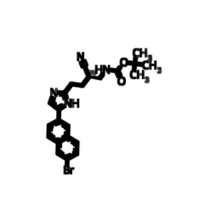 CC(C)(C)OC(=O)NC[C@H](C#N)CCc1ncc(-c2ccc3cc(Br)ccc3c2)[nH]1